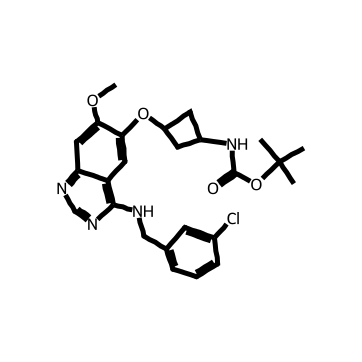 COc1cc2ncnc(NCc3cccc(Cl)c3)c2cc1OC1CC(NC(=O)OC(C)(C)C)C1